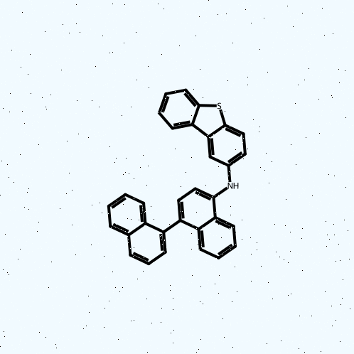 c1ccc2c(-c3ccc(Nc4ccc5sc6ccccc6c5c4)c4ccccc34)cccc2c1